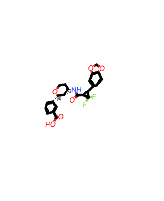 O=C(O)c1cccc([C@H]2C[C@@H](NC(=O)C3C(c4ccc5c(c4)OCO5)C3(F)F)CCO2)c1